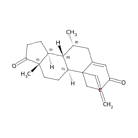 C=C=CC12CCC(=O)C=C1C[C@@H](C)[C@@H]1[C@@H]2CC[C@]2(C)C(=O)CC[C@@H]12